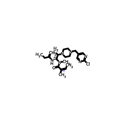 C=C(CC)N[C@H](C(C)N1CCN(Cc2cnc(Cl)nc2)CC1)N(C)C(=O)/C(C)=C\C